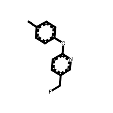 Cc1ccc(Oc2ccc(CF)cn2)cc1